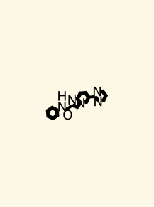 O=C(Nc1ccccc1)c1cn2cc(-c3ncccn3)ccc2n1